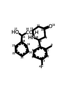 Cc1cc(F)ccc1C1CC(=O)CCN1.O=C(O)C(O)c1ccccc1